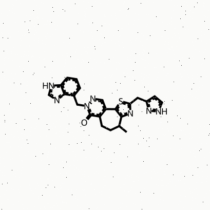 CC1CCc2c(cnn(Cc3cccc4[nH]cnc34)c2=O)-c2sc(Cc3cc[nH]n3)nc21